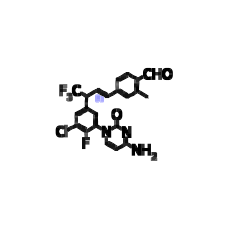 Cc1cc(/C=C/C(c2cc(Cl)c(F)c(-n3ccc(N)nc3=O)c2)C(F)(F)F)ccc1C=O